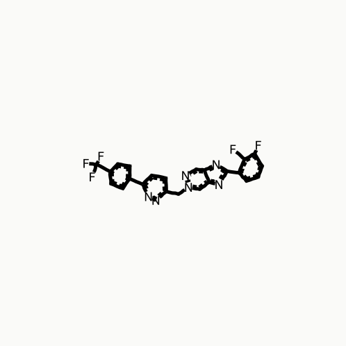 Fc1cccc(-c2nc3cnn(Cc4ccc(-c5ccc(C(F)(F)F)cc5)nn4)cc-3n2)c1F